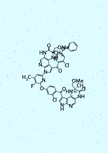 COC[C@]1(C)Nc2c(cnc3[nH]cc(C(=O)c4ccc(Oc5nc(-n6cc(C(=O)c7ncc(Oc8ccccc8)cc7Cl)c7c8c(cnc76)NC(=O)[C@](C)(COC)N8)cc(C)c5F)cc4Cl)c23)NC1=O